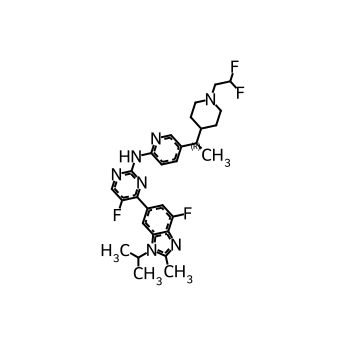 Cc1nc2c(F)cc(-c3nc(Nc4ccc([C@H](C)C5CCN(CC(F)F)CC5)cn4)ncc3F)cc2n1C(C)C